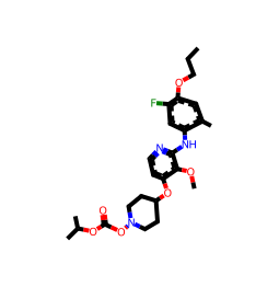 CCCOc1cc(C)c(Nc2nccc(OC3CCN(OC(=O)OC(C)C)CC3)c2OC)cc1F